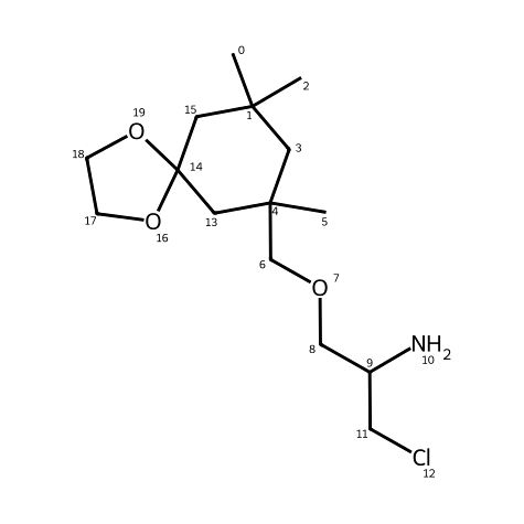 CC1(C)CC(C)(COCC(N)CCl)CC2(C1)OCCO2